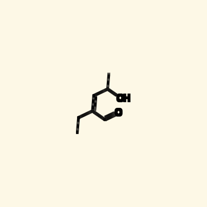 CCC(C=O)=CC(C)O